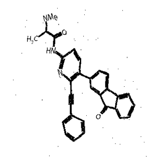 CNC(C)C(=O)Nc1ccc(-c2ccc3c(c2)C(=O)c2ccccc2-3)c(C#Cc2ccccc2)n1